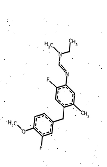 CCN(C)/C=N/c1cc(C)c(Cc2ccc(OC)c(F)c2)cc1F